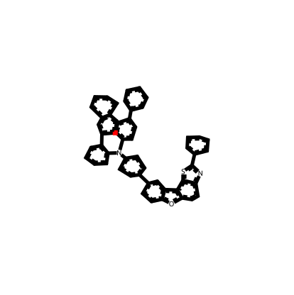 c1ccc(-c2ccc(N(c3ccc(-c4ccc5oc6ccc7nc(-c8ccccc8)sc7c6c5c4)cc3)c3ccccc3-c3ccc4ccccc4c3)cc2)cc1